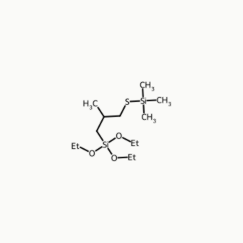 CCO[Si](CC(C)CS[Si](C)(C)C)(OCC)OCC